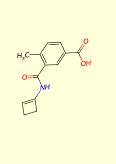 Cc1ccc(C(=O)O)cc1C(=O)NC1=CCC1